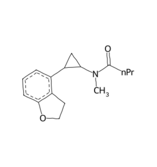 CCCC(=O)N(C)C1CC1c1cccc2c1CCO2